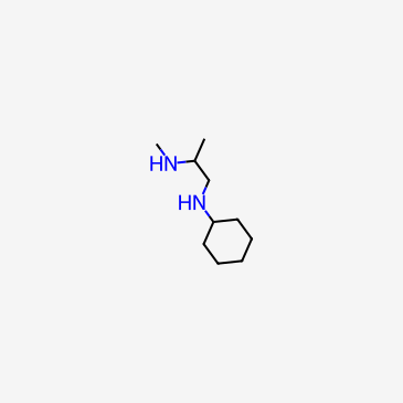 CNC(C)CNC1CCCCC1